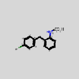 O=C(O)Nc1ccccc1Cc1ccc(F)cc1